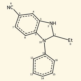 CCC1Nc2cc(C#N)ccc2N1c1ccccc1